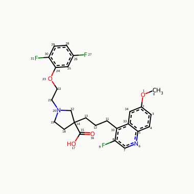 COc1ccc2ncc(F)c(CCCC3(C(=O)O)CCN(CCOc4cc(F)ccc4F)C3)c2c1